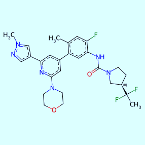 Cc1cc(F)c(NC(=O)N2CC[C@@H](C(C)(F)F)C2)cc1-c1cc(-c2cnn(C)c2)nc(N2CCOCC2)c1